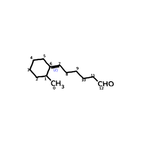 CC1CCCC/C1=C/CCCCC=O